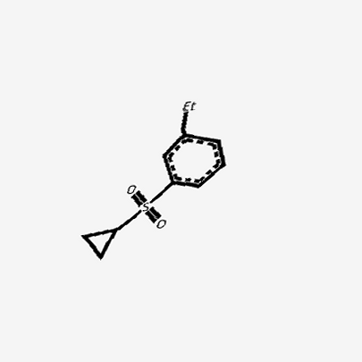 [CH2]Cc1cccc(S(=O)(=O)C2CC2)c1